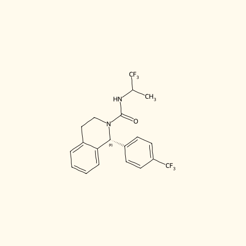 CC(NC(=O)N1CCc2ccccc2[C@H]1c1ccc(C(F)(F)F)cc1)C(F)(F)F